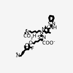 Cc1cc(N(CCCCC[N+](C)(C)CC(=O)O)c2nc(C(=O)[O-])c(CCCOc3ccc(C#CCN(C)C)cc3F)s2)nnc1Nc1nc2ccccc2s1